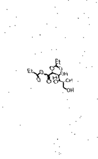 CCC(=O)OC(=O)[C@H](OC(=O)CC)[C@@H](O)[C@H](O)[C@H](O)CO